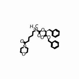 CN(CCCCC(=O)N1CCOCC1)C(=O)O[C@@H](Cc1ccccc1)C(=O)OCc1ccccc1